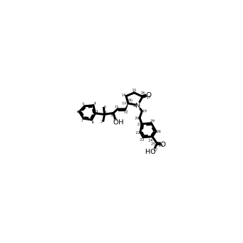 CC(C)(c1ccccc1)C(O)C=C[C@H]1CCC(=O)N1CCc1ccc(C(=O)O)cc1